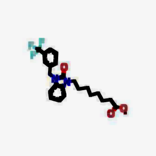 COC(=O)CCCCCCCn1c(=O)n(Cc2cccc(C(F)(F)F)c2)c2ccccc21